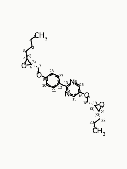 CCCC[C@@H]1O[C@H]1COc1ccc(-c2ncc(OC[C@@H]3O[C@@H]3CCC)cn2)cc1